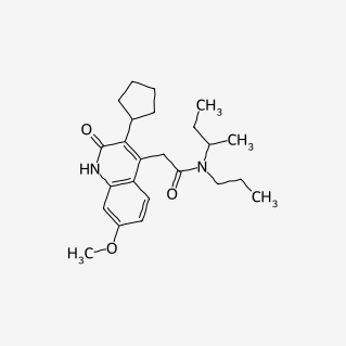 CCCN(C(=O)Cc1c(C2CCCC2)c(=O)[nH]c2cc(OC)ccc12)C(C)CC